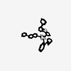 c1ccc(-c2ccc3cc(-c4nc(-c5ccccc5-c5ccccc5)nc(-c5cccc6oc7c(-c8ccccc8)cccc7c56)n4)ccc3c2)cc1